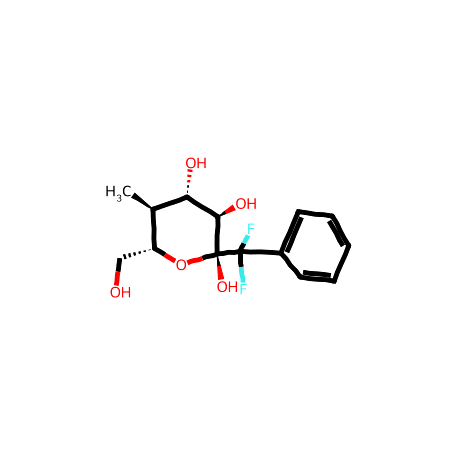 C[C@H]1[C@H](O)[C@@H](O)[C@](O)(C(F)(F)c2ccccc2)O[C@@H]1CO